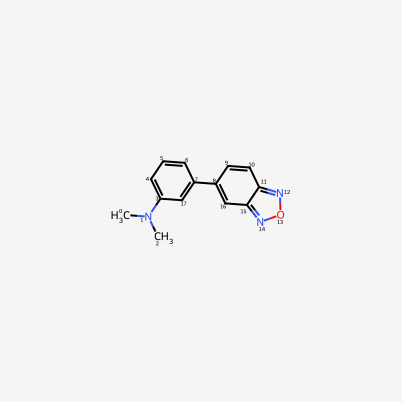 CN(C)c1cccc(-c2ccc3nonc3c2)c1